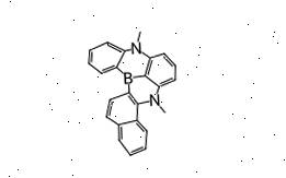 CN1c2ccccc2B2c3ccc4ccccc4c3N(C)c3cccc1c32